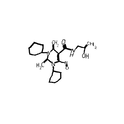 C=C(O)CNC(=O)C1=C(N=O)N(C2CCCCC2)C(=C)N(C2CCCCC2)C1=C